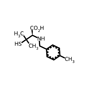 Cc1ccc(CN[C@H](C(=O)O)C(C)(C)S)cc1